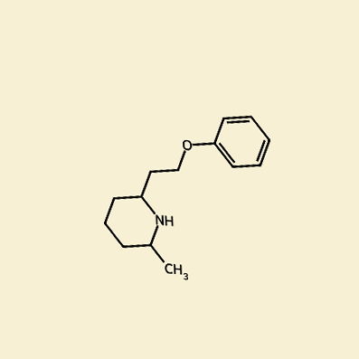 CC1CCCC(CCOc2ccccc2)N1